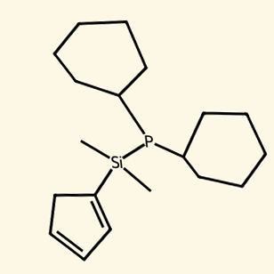 C[Si](C)(C1=CC=CC1)P(C1CCCCC1)C1CCCCC1